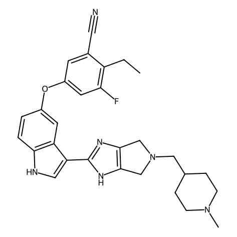 CCc1c(F)cc(Oc2ccc3[nH]cc(-c4nc5c([nH]4)CN(CC4CCN(C)CC4)C5)c3c2)cc1C#N